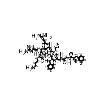 CSCC[C@H](NC(=O)[C@H](Cc1ccccc1)NC(=O)CNC(=O)CNC(=O)[C@@H](N)Cc1ccccc1)C(=O)N[C@@H](CCCN=C(N)N)C(=O)N[C@@H](CCCN=C(N)N)C(=O)N[C@@H](CCCCN)C(=O)O